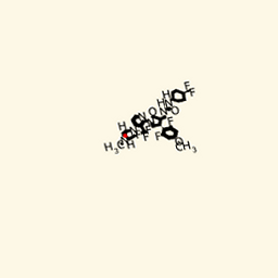 COc1cc(F)c([C@@H]2CN(c3nccc(N4C[C@@H]5C[C@H]4CN5C)c3C(F)(F)F)C(=O)C2CNC(=O)N[C@H]2CC[C@H](C(F)F)CC2)c(F)c1